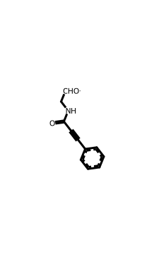 O=[C]CNC(=O)C#Cc1ccccc1